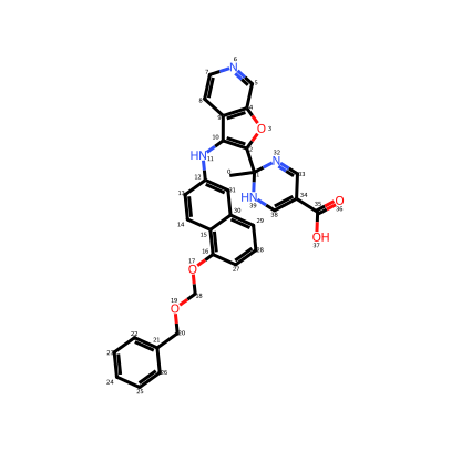 CC1(c2oc3cnccc3c2Nc2ccc3c(OCOCc4ccccc4)cccc3c2)N=CC(C(=O)O)=CN1